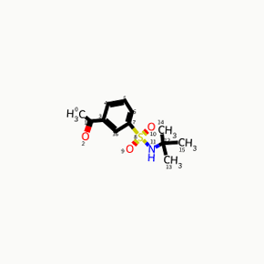 CC(=O)c1cccc(S(=O)(=O)NC(C)(C)C)c1